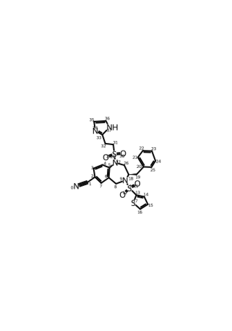 N#Cc1ccc2c(c1)CN(S(=O)(=O)c1cccs1)[C@H](Cc1ccccc1)CN2S(=O)(=O)CCc1ncc[nH]1